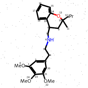 COc1cc(CCNCC2CC(C)(C(C)C)Oc3ccccc32)cc(OC)c1OC